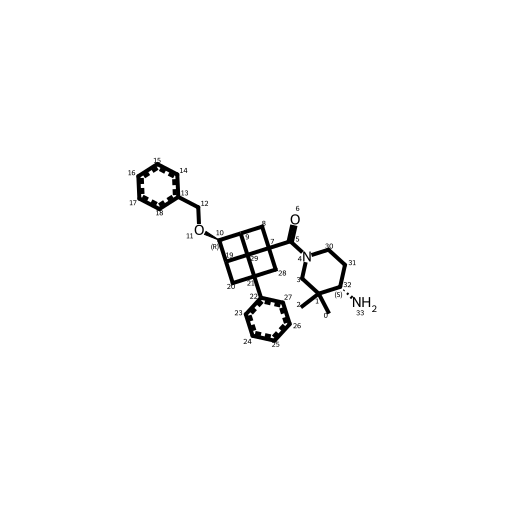 CC1(C)CN(C(=O)C23CC4[C@H](OCc5ccccc5)C5CC(c6ccccc6)(C2)C453)CC[C@@H]1N